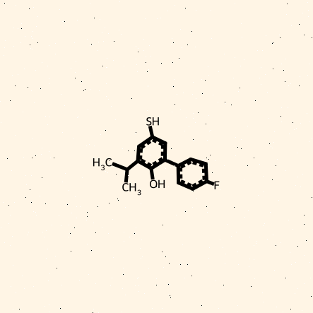 CC(C)c1cc(S)cc(-c2ccc(F)cc2)c1O